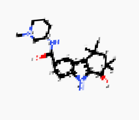 CN1CCC[C@H](NC(=O)c2ccc3[nH]c4c(c3c2)C(C)(C)CC(C)(C)C4=O)C1